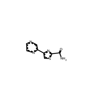 NC(=O)c1nc(-c2cnccn2)cs1